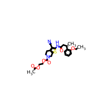 CCOc1ccccc1[C@@H](C)CC(=O)Nc1sc2c(c1C#N)CCN(C(=O)OCCOC(C)=O)C2